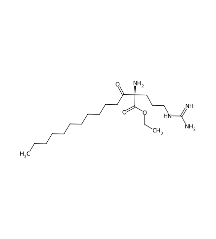 CCCCCCCCCCCC(=O)[C@](N)(CCCNC(=N)N)C(=O)OCC